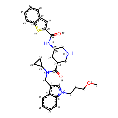 COCCCn1cc(CN(C(=O)[C@@H]2CNC[C@H](NC(=O)c3cc4ccccc4s3)C2)C2CC2)c2ccccc21